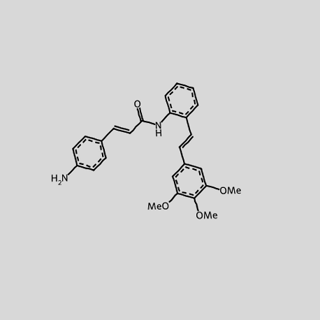 COc1cc(C=Cc2ccccc2NC(=O)/C=C/c2ccc(N)cc2)cc(OC)c1OC